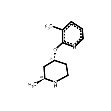 C[C@H]1C[C@H](Oc2ncccc2C(F)(F)F)CCN1